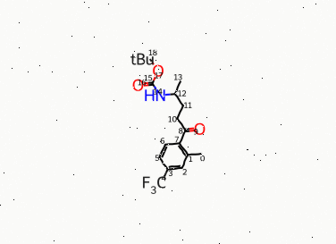 Cc1cc(C(F)(F)F)ccc1C(=O)CCC(C)NC(=O)OC(C)(C)C